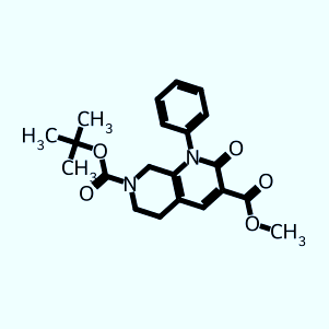 COC(=O)c1cc2c(n(-c3ccccc3)c1=O)CN(C(=O)OC(C)(C)C)CC2